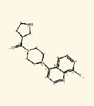 O=C([C@H]1CCNC1)N1CCN(c2ccnc3c(F)cccc23)CC1